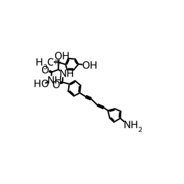 C[C@@](O)(c1ccc(O)cc1)C(NC(=O)c1ccc(C#CC#Cc2ccc(N)cc2)cc1)C(=O)NO